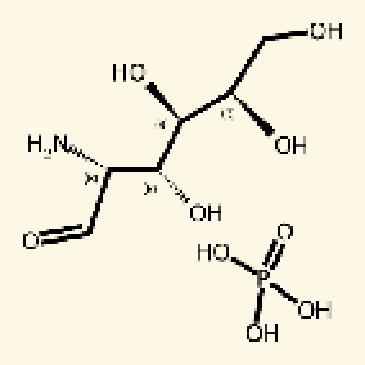 N[C@@H](C=O)[C@@H](O)[C@@H](O)[C@H](O)CO.O=P(O)(O)O